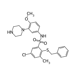 COc1ccc(NS(=O)(=O)c2cc(Cl)cc(C)c2SCc2ccccc2)cc1N1CCNCC1